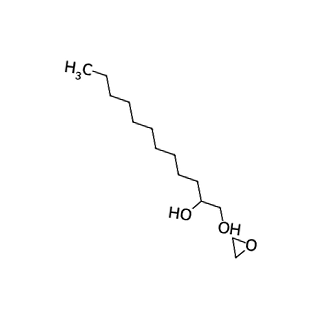 C1CO1.CCCCCCCCCCC(O)CO